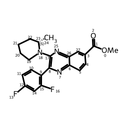 COC(=O)c1ccc2nc(-c3ccc(F)cc3F)c(N3CCCC[C@@H]3C)nc2c1